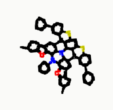 Cc1ccc2c(c1)oc1c3c4c(cc12)B1c2cc(-c5ccccc5)ccc2Sc2cc5c6c(c21)N4c1c(cc2c(oc4cc(C)ccc42)c1N3c1ccccc1)B6c1cc(-c2ccccc2)ccc1S5